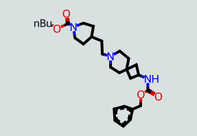 CCCCOC(=O)N1CCC(CCN2CCC3(CC2)CC(NC(=O)OCc2ccccc2)C3)CC1